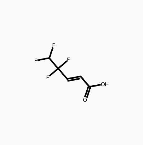 O=C(O)C=CC(F)(F)[C](F)F